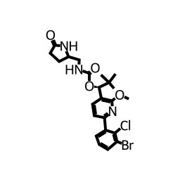 COc1nc(-c2cccc(Br)c2Cl)ccc1[C@@H](OC(=O)NCC1CCC(=O)N1)C(C)(C)C